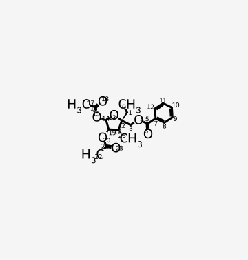 CC[C@]1(COC(=O)c2ccccc2)O[C@H](OC(C)=O)[C@H](OC(C)=O)[C@H]1C